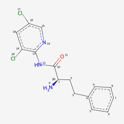 N[C@H](CCc1ccccc1)C(=O)Nc1ncc(Cl)cc1Cl